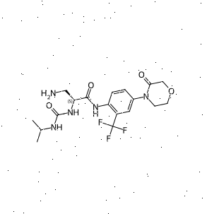 CC(C)NC(=O)N[C@@H](CN)C(=O)Nc1ccc(N2CCOCC2=O)cc1C(F)(F)F